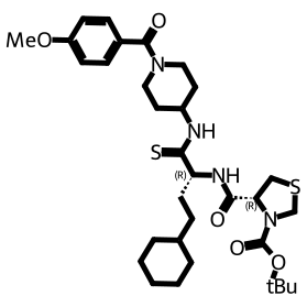 COc1ccc(C(=O)N2CCC(NC(=S)[C@@H](CCC3CCCCC3)NC(=O)[C@@H]3CSCN3C(=O)OC(C)(C)C)CC2)cc1